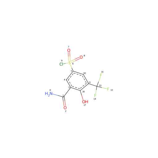 NC(=O)c1cc(S(=O)(=O)Cl)cc(C(F)(F)F)c1O